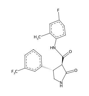 Cc1cc(F)ccc1NC(=O)[C@H]1C(=O)NC[C@@H]1c1cccc(C(F)(F)F)c1